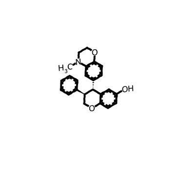 CN1CCOc2ccc([C@@H]3c4cc(O)ccc4OC[C@H]3c3ccccc3)cc21